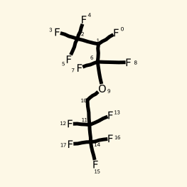 FC(C(F)(F)F)C(F)(F)OCC(F)(F)C(F)(F)F